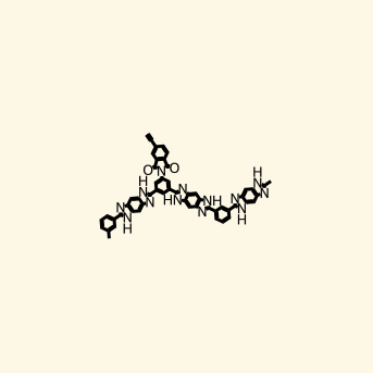 C#Cc1ccc2c(c1)C(=O)N(c1cc(-c3nc4cc5[nH]c(-c6cccc(C)c6)nc5cc4[nH]3)cc(-c3nc4cc5[nH]c(-c6cccc(-c7nc8cc9[nH]c(C)nc9cc8[nH]7)c6)nc5cc4[nH]3)c1)C2=O